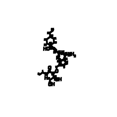 CCNC(=O)[C@@H](OCn1cnc2c(N)nc(C#CC3(O)CCC(CC)CC3)nc21)C(O)CO